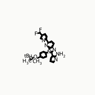 CC(C)(C)[Si](C)(C)OCc1ccc(-n2c(-c3cccnc3N)nc3ccc(-c4ccc(C(F)F)cn4)nc32)cc1